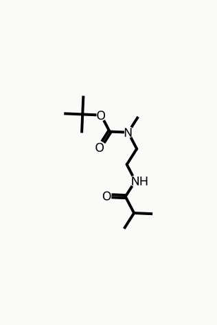 CC(C)C(=O)NCCN(C)C(=O)OC(C)(C)C